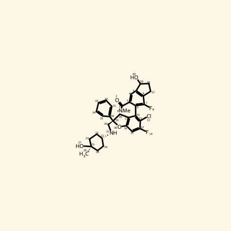 CNC(=O)c1cc2c(c(F)c1-c1c(Cl)c(F)cc3c1C[C@@](CN[C@H]1CC[C@](C)(O)CC1)(c1ccccc1)O3)CCC2O